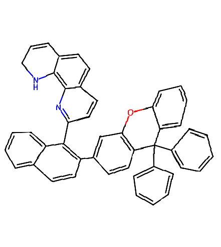 C1=Cc2ccc3ccc(-c4c(-c5ccc6c(c5)Oc5ccccc5C6(c5ccccc5)c5ccccc5)ccc5ccccc45)nc3c2NC1